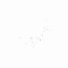 CCOC(=O)CNC(C)(C(=O)N1CCCC1)c1ccc2c(c1)nc(CNc1ccc(C(=N)NC(=O)OCC(Cl)(Cl)Cl)cc1)n2C